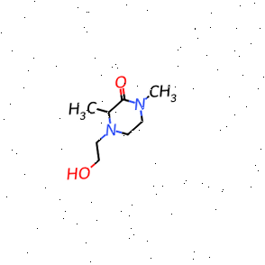 CC1C(=O)N(C)CCN1CCO